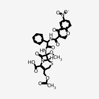 CO[C@@]1(NC(=O)C(NC(=O)c2coc3ccc([N+](=O)[O-])cc3c2=O)c2ccccc2)C(=O)N2C(C(=O)O)=C(COC(C)=O)CS[C@H]21